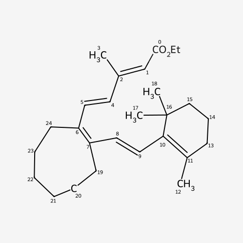 CCOC(=O)/C=C(\C)C=CC1=C(C=CC2=C(C)CCCC2(C)C)CCCCCC1